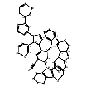 N#CC1C=C(C2C=CC(c3cccc(C4CC=CCC4)c3)N2C2=CCCC=C2)C(n2c3c(c4ccccc42)CCC2SC4CCC=CC4C32)CC1n1c2c(c3c1CCCC3)CCC=C2